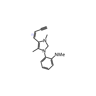 C#C/C=C\C1=C(C)N(c2ccccc2NC)CN1C